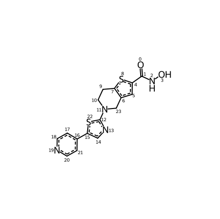 O=C(NO)c1cc2c(s1)CCN(c1ncc(-c3ccncc3)s1)C2